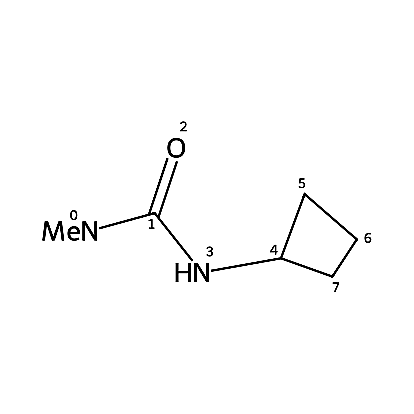 CNC(=O)NC1CCC1